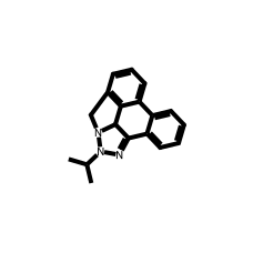 CC(C)N1N=C2c3ccccc3-c3cccc4c3C2N1C4